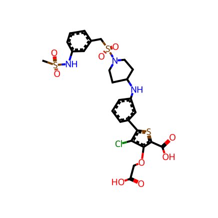 CS(=O)(=O)Nc1cccc(CS(=O)(=O)N2CCC(Nc3cccc(-c4sc(C(=O)O)c(OCC(=O)O)c4Cl)c3)CC2)c1